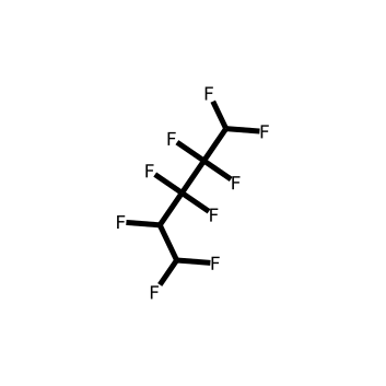 FC(F)C(F)C(F)(F)C(F)(F)C(F)F